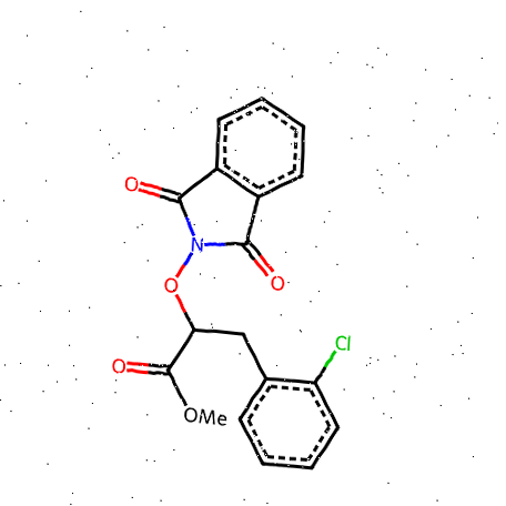 COC(=O)C(Cc1ccccc1Cl)ON1C(=O)c2ccccc2C1=O